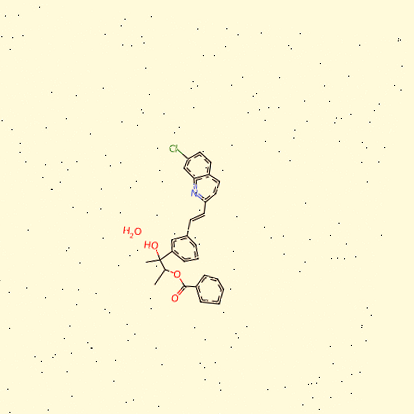 CC(OC(=O)c1ccccc1)C(C)(O)c1cccc(C=Cc2ccc3ccc(Cl)cc3n2)c1.O